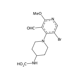 COc1ncc(Br)c(N2CCC(NC(=O)O)CC2)c1C=O